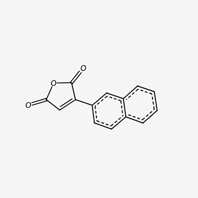 O=C1C=C(c2ccc3ccccc3c2)C(=O)O1